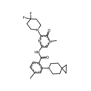 Cn1cc(NC(=O)c2ccc(I)cc2N2CCC3(CC2)CC3)nc(N2CCC(F)(F)CC2)c1=O